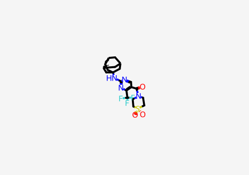 O=C(c1cnc(NC23CCC4CC(CC(C4)C2)C3)nc1C(F)(F)F)N1CCS(=O)(=O)CC1